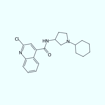 O=C(NC1CCN(C2CCCCC2)C1)c1cc(Cl)nc2ccccc12